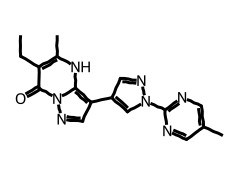 CCc1c(C)[nH]c2c(-c3cnn(-c4ncc(C)cn4)c3)cnn2c1=O